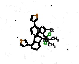 CCC1=Cc2c(-c3ccsc3)cccc2[CH]1[Zr]([Cl])([Cl])([CH]1C(CC)=Cc2c(-c3ccsc3)cccc21)[SiH](C)C